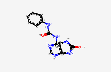 O=C(Nc1ccccc1)Nc1ncnc2[nH]c(=O)[nH]c12